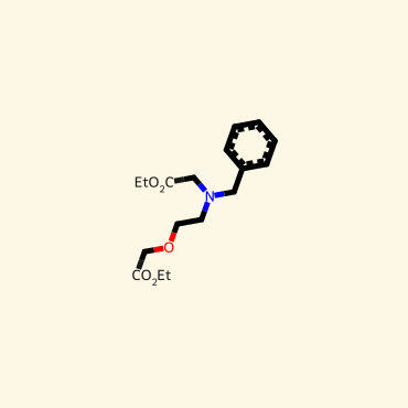 CCOC(=O)COCCN(CC(=O)OCC)Cc1ccccc1